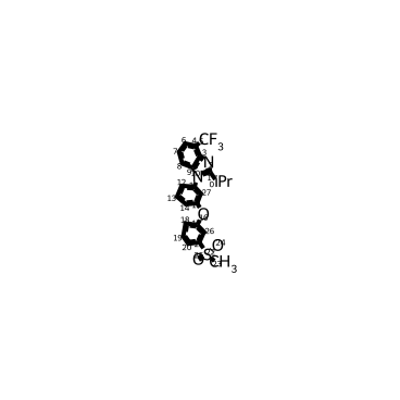 CC(C)c1nc2c(C(F)(F)F)cccc2n1-c1cccc(Oc2cccc(S(C)(=O)=O)c2)c1